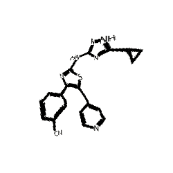 N#Cc1cccc(-c2nc(Nc3n[nH]c(C4CC4)n3)sc2-c2ccncc2)c1